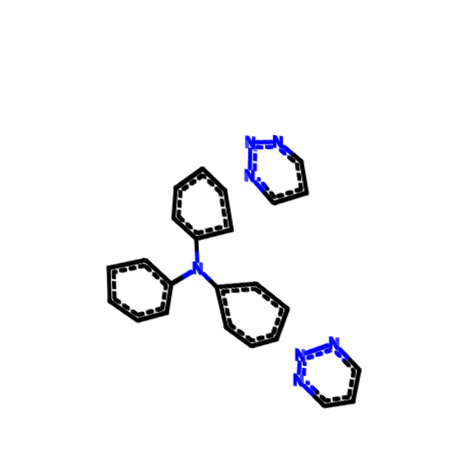 c1ccc(N(c2ccccc2)c2ccccc2)cc1.c1cnnnc1.c1cnnnc1